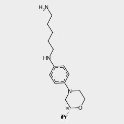 CC(C)[C@@H]1CN(c2ccc(NCCCCCN)cc2)CCO1